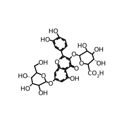 O=C(O)C1O[C@@H](Oc2c(-c3ccc(O)c(O)c3)oc3cc(O[C@@H]4OC(CO)[C@@H](O)[C@H](O)C4O)cc(O)c3c2=O)C(O)C(O)[C@@H]1O